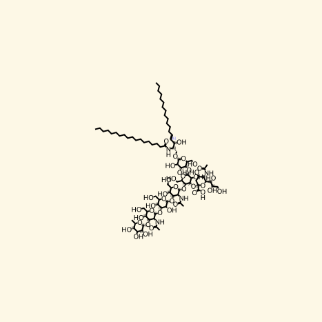 CCCCCCCCCCCCC/C=C/[C@@H](O)[C@H](CO[C@@H]1OC(CO)[C@@H](O[C@@H]2OC(CO)[C@H](O[C@@H]3OC(CO)[C@H](O)[C@H](O[C@@H]4OC(CO)[C@H](O)[C@H](O[C@@H]5OC(CO)[C@H](O)[C@H](O[C@H]6OC(C)[C@@H](O)C(O)[C@@H]6O)C5NC(C)=O)C4O)C3NC(C)=O)[C@H](O[C@]3(C(=O)O)CC(O)[C@@H](NC(C)=O)C([C@H](O)[C@H](O)CO)O3)C2O)[C@H](O)C1O)NC(=O)CCCCCCCCCCCCCCCCC